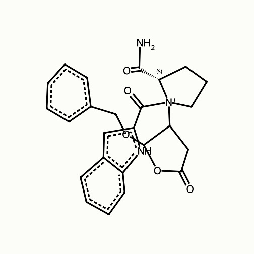 NC(=O)[C@@H]1CCC[N+]1(C(=O)c1cc2ccccc2[nH]1)C1CC(=O)OC1OCc1ccccc1